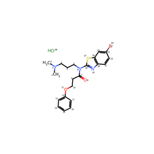 CN(C)CCCN(C(=O)CCOc1ccccc1)c1nc2ccc(Br)cc2s1.Cl